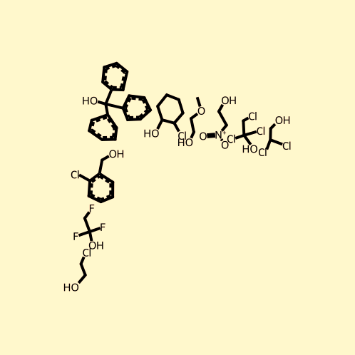 COCCO.O=[N+]([O-])CCO.OC(Cl)(Cl)CCl.OC(F)(F)CF.OC(c1ccccc1)(c1ccccc1)c1ccccc1.OC1CCCCC1Cl.OCC(Cl)Cl.OCCCl.OCc1ccccc1Cl